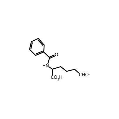 O=[C]CCCC(NC(=O)c1ccccc1)C(=O)O